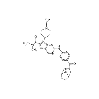 CN(C)C(=O)c1cc2cnc(Nc3ccc(C(=O)N4CC5CCC(C4)N5)cn3)nc2n1C1CCN(C2CC2)CC1